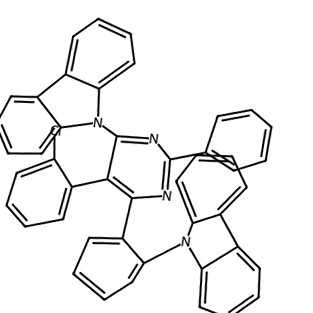 Clc1ccccc1-c1c(-c2ccccc2-n2c3ccccc3c3ccccc32)nc(-c2ccccc2)nc1-n1c2ccccc2c2ccccc21